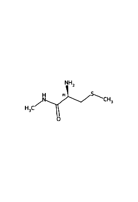 CNC(=O)[C@@H](N)CSC